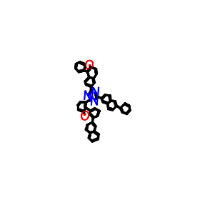 c1ccc(-c2ccc3cc(-c4nc(-c5ccc6c(ccc7oc8ccccc8c76)c5)nc(-c5cccc6oc7c(-c8ccc9ccccc9c8)cccc7c56)n4)ccc3c2)cc1